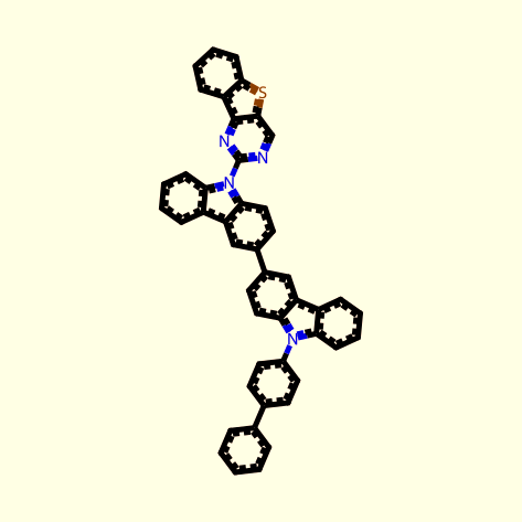 c1ccc(-c2ccc(-n3c4ccccc4c4cc(-c5ccc6c(c5)c5ccccc5n6-c5ncc6sc7ccccc7c6n5)ccc43)cc2)cc1